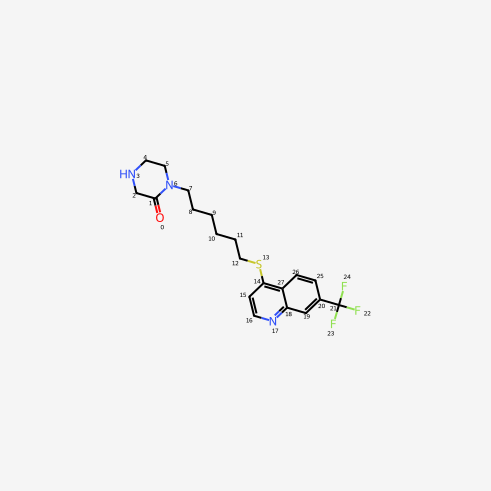 O=C1CNCCN1CCCCCCSc1ccnc2cc(C(F)(F)F)ccc12